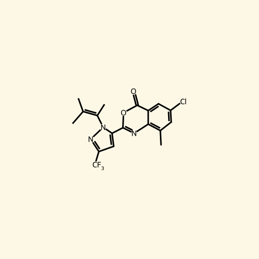 CC(C)=C(C)n1nc(C(F)(F)F)cc1-c1nc2c(C)cc(Cl)cc2c(=O)o1